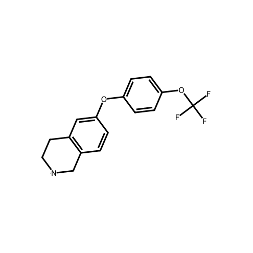 FC(F)(F)Oc1ccc(Oc2ccc3c(c2)CC[N]C3)cc1